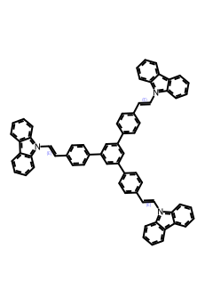 C(=C\n1c2ccccc2c2ccccc21)/c1ccc(-c2cc(-c3ccc(/C=C/n4c5ccccc5c5ccccc54)cc3)cc(-c3ccc(/C=C/n4c5ccccc5c5ccccc54)cc3)c2)cc1